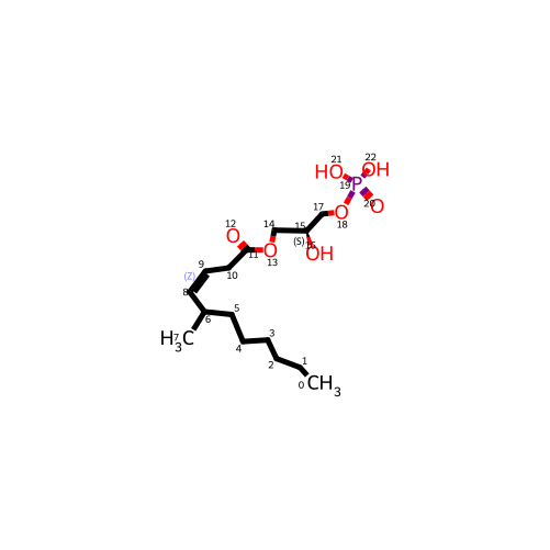 CCCCCCC(C)/C=C\CC(=O)OC[C@H](O)COP(=O)(O)O